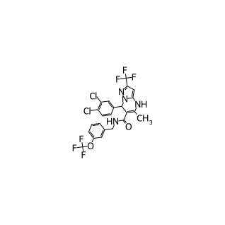 CC1=C(C(=O)NCc2cccc(OC(F)(F)F)c2)C(c2ccc(Cl)c(Cl)c2)n2nc(C(F)(F)F)cc2N1